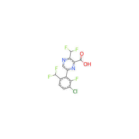 O=C(O)c1nc(-c2c(C(F)F)ccc(Cl)c2F)cnc1C(F)F